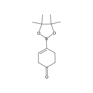 CC1(C)OB(C2=CCC(=O)CC2)OC1(C)C